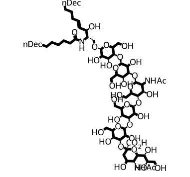 CCCCCCCCCCCCC/C=C/[C@@H](O)[C@H](CO[C@@H]1OC(CO)[C@@H](O[C@@H]2OC(CO)[C@H](O)[C@H](O[C@@H]3OC(CO)[C@@H](O[C@@H]4OC(CO)[C@H](O)[C@H](O[C@@H]5OC(CO)[C@H](O)[C@H](O[C@]6(C(=O)O)CC(O)[C@@H](NC(C)=O)C([C@H](O)[C@H](O)CO)O6)C5O)C4O)[C@H](O)C3NC(C)=O)C2O)[C@H](O)C1O)NC(=O)CCCCCCCCCCCCCCC